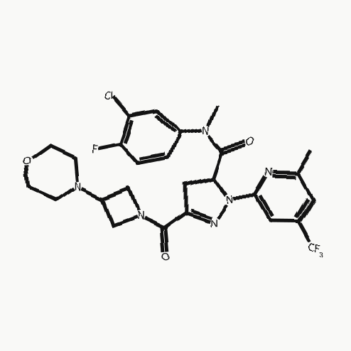 Cc1cc(C(F)(F)F)cc(N2N=C(C(=O)N3CC(N4CCOCC4)C3)CC2C(=O)N(C)c2ccc(F)c(Cl)c2)n1